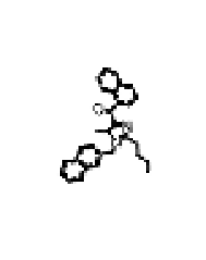 CCCCc1nc(C(=O)c2cccc3ccccc23)c(C)n1Cc1ccc2ccccc2c1